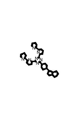 c1ccc(-c2cccc(-c3nc(-c4ccc(-c5ccc6ccccc6c5)cc4)nc(-c4cccc(-c5ccccn5)n4)n3)n2)nc1